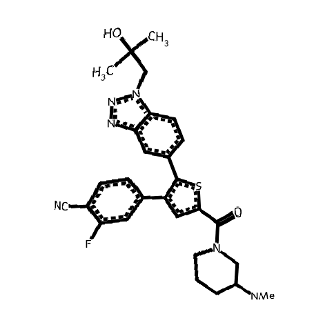 CNC1CCCN(C(=O)c2cc(-c3ccc(C#N)c(F)c3)c(-c3ccc4c(c3)nnn4CC(C)(C)O)s2)C1